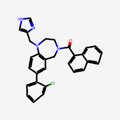 O=C(c1cccc2ccccc12)N1CCN(Cc2c[nH]cn2)c2ccc(-c3ccccc3Cl)cc2C1